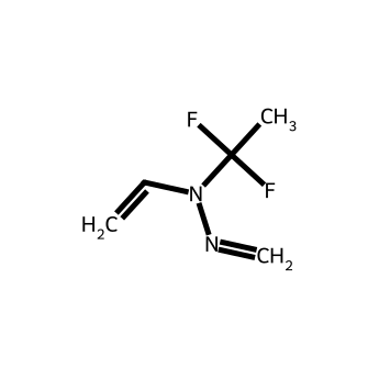 C=CN(N=C)C(C)(F)F